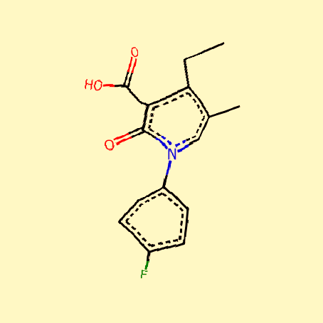 CCc1c(C)cn(-c2ccc(F)cc2)c(=O)c1C(=O)O